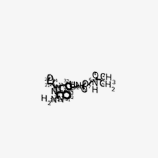 C=C(C)C(=O)NCCOC(=O)NCc1ccc(Cn2c(C3CCOC3)nc3c(N)nc4ccccc4c32)cc1